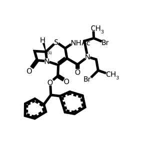 CC(=O)NC1S[C@H]2CC(=O)N2C(C(=O)OC(c2ccccc2)c2ccccc2)=C1C(=O)N(CC(C)Br)CC(C)Br